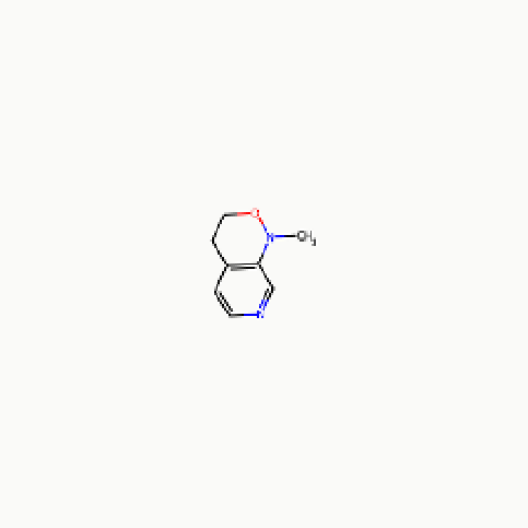 CN1OCCc2ccncc21